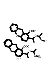 CCOC(C)OC(C)c1ccc2c(c1C(=O)[O-])Cc1ccccc1O2.CCOC(C)OC(C)c1ccc2c(c1C(=O)[O-])Cc1ccccc1O2.[Pt+2]